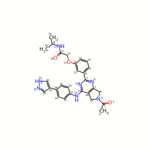 CC(=O)N1Cc2nc(-c3cccc(OCC(=O)NC(C)C)c3)nc(Nc3ccc(-c4cn[nH]c4)cc3)c2C1